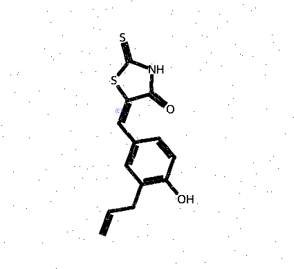 C=CCc1cc(/C=C2/SC(=S)NC2=O)ccc1O